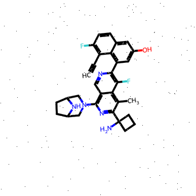 C#Cc1c(F)ccc2cc(O)cc(-c3ncc4c(N5CC6CCC(C5)N6)nc(C5(N)CCC5)c(C)c4c3F)c12